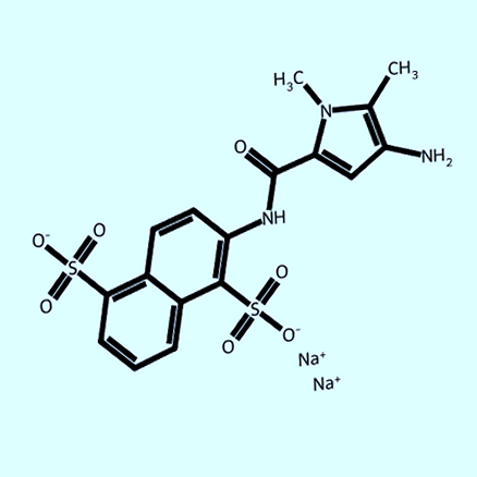 Cc1c(N)cc(C(=O)Nc2ccc3c(S(=O)(=O)[O-])cccc3c2S(=O)(=O)[O-])n1C.[Na+].[Na+]